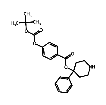 CC(C)(C)OC(=O)Oc1ccc(C(=O)OC2(c3ccccc3)CCNCC2)cc1